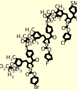 CSc1ccc(C(=O)C2CN(C(=O)Oc3ccc(Cl)cc3)CC2Cc2cc(C)c(OC(C)(C)C(=O)OSc3ccc(C(=O)C4CN(C(=O)Oc5ccc(F)cc5)CC4Cc4cc(C)c(OC(C)(C)C(=O)OSc5ccc(C(=O)C6CN(C(=O)Oc7ccc(Br)cc7)CC6Cc6cc(C)c(OC(C)(C)C(=O)O)c(C)c6)cc5)c(C)c4)cc3)c(C)c2)cc1